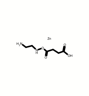 NCCNOC(=O)CCC(=O)O.[Zn]